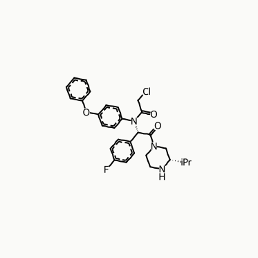 CC(C)[C@H]1CN(C(=O)[C@H](c2ccc(F)cc2)N(C(=O)CCl)c2ccc(Oc3ccccc3)cc2)CCN1